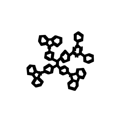 c1ccc(-c2nc(-c3ccccc3)nc(-c3ccc(C(=C(c4ccc(-n5c6ccccc6c6ccccc65)cc4)c4ccc(-n5c6ccccc6c6ccccc65)cc4)c4cccc(-n5c6ccccc6c6ccccc65)c4)cc3)n2)cc1